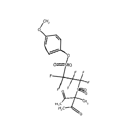 COc1ccc(OS(=O)(=O)C(F)(F)C(F)(F)C(F)(F)S(=O)(=O)C(C)(C(C)=O)C(C)=O)cc1